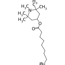 CCC(C)CCCCCCCC(=O)OC1CC(C)(C)N(C)C(C)(C)C1